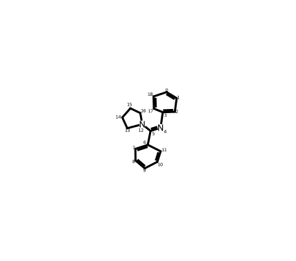 c1ccc(N=C(c2ccccc2)N2CCCC2)cc1